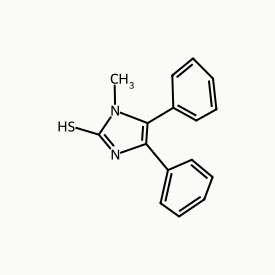 Cn1c(S)nc(-c2ccccc2)c1-c1ccccc1